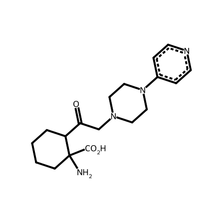 NC1(C(=O)O)CCCCC1C(=O)CN1CCN(c2ccncc2)CC1